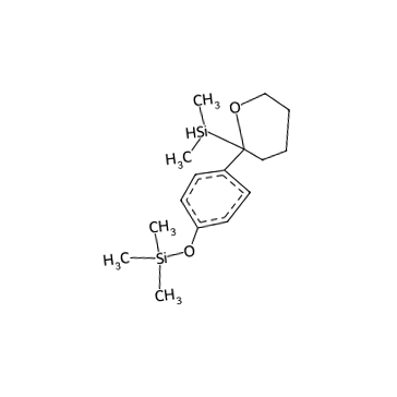 C[SiH](C)C1(c2ccc(O[Si](C)(C)C)cc2)CCCCO1